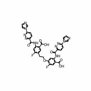 O=C(Nc1cc(OCCc2cc(C(=O)O)c(NC(=O)c3ccc(-n4ccnc4)nn3)cc2F)c(F)cc1C(=O)O)c1ccc(-n2ccnc2)nn1